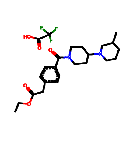 CCOC(=O)Cc1ccc(C(=O)N2CCC(N3CCCC(C)C3)CC2)cc1.O=C(O)C(F)(F)F